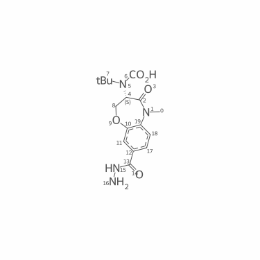 CN1C(=O)[C@@H](N(C(=O)O)C(C)(C)C)COc2cc(C(=O)NN)ccc21